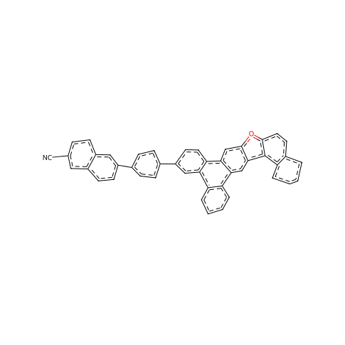 N#Cc1ccc2cc(-c3ccc(-c4ccc5c(c4)c4ccccc4c4cc6c(cc54)oc4ccc5ccccc5c46)cc3)ccc2c1